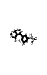 Nc1ncnc2c1C(c1cc(F)cc(N[SH](=O)=O)c1)=N[N]2